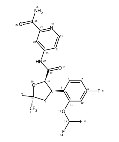 C[C@]1(C(F)(F)F)C[C@H](c2ccc(F)cc2OC(F)F)[C@H](C(=O)Nc2ccnc(C(N)=O)c2)O1